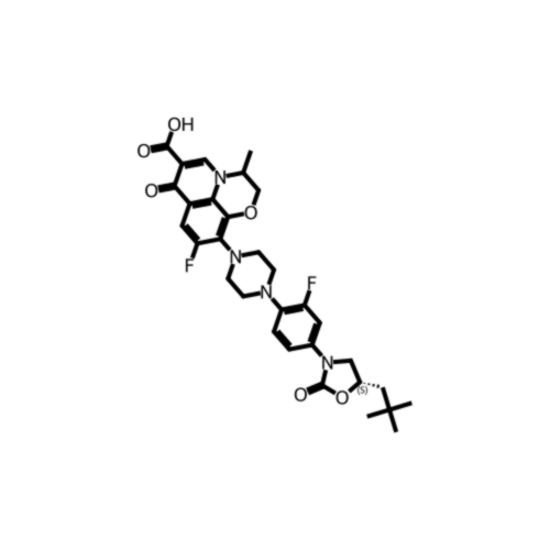 CC1COc2c(N3CCN(c4ccc(N5C[C@H](CC(C)(C)C)OC5=O)cc4F)CC3)c(F)cc3c(=O)c(C(=O)O)cn1c23